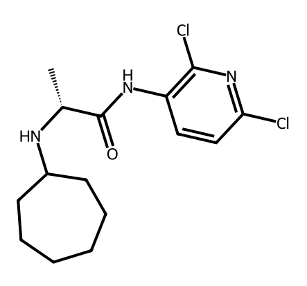 C[C@@H](NC1CCCCCC1)C(=O)Nc1ccc(Cl)nc1Cl